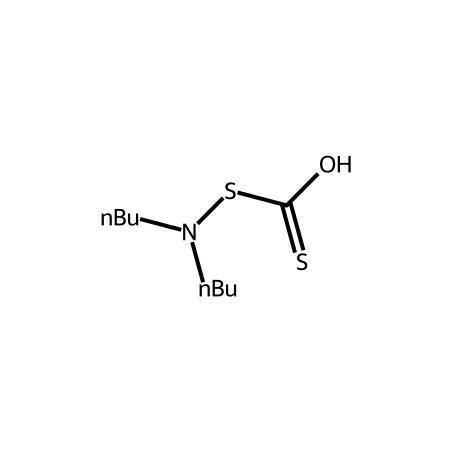 CCCCN(CCCC)SC(O)=S